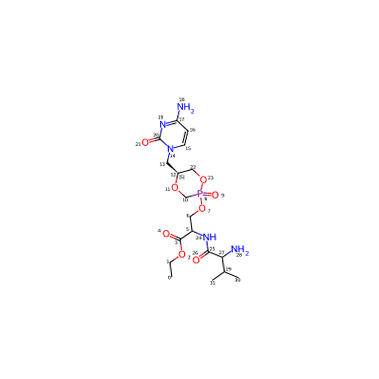 CCOC(=O)C(COP1(=O)CO[C@@H](Cn2ccc(N)nc2=O)CO1)NC(=O)C(N)C(C)C